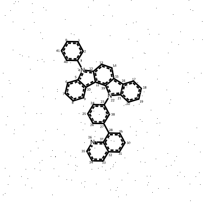 c1ccc(-n2c3ccccc3c3c2ccc2c4ccccc4n(-c4cccc(-c5cccc6cccnc56)c4)c23)cc1